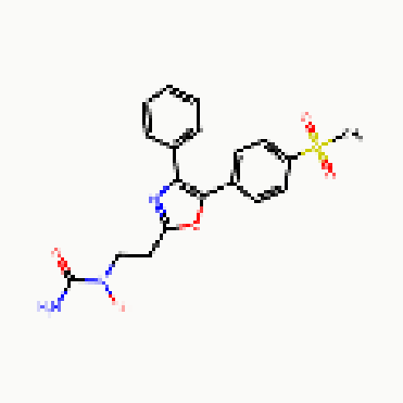 CS(=O)(=O)c1ccc(-c2oc(CCN(O)C(N)=O)nc2-c2ccccc2)cc1